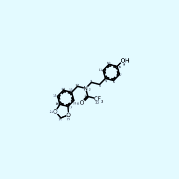 O=C(N(CCc1ccc(O)cc1)Cc1ccc2c(c1)OCO2)C(F)(F)F